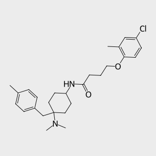 Cc1ccc(CC2(N(C)C)CCC(NC(=O)CCCOc3ccc(Cl)cc3C)CC2)cc1